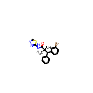 CC(C)(C(=O)Nc1nncs1)C(c1ccccc1)c1cccc(Br)c1